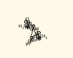 CC(C)CC(=O)Nc1ccc(CCCCC(=O)Nc2cccc(COc3nc4c(Cl)cccc4n3-c3nnnn3C)n2)c(COc2nc3c(Cl)cccc3n2-c2nnnn2C)n1